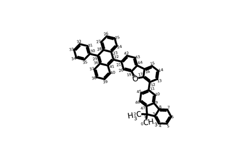 CC1(C)c2ccccc2-c2cc(-c3cccc4c3oc3cc(-c5c6ccccc6c(-c6ccccc6)c6ccccc56)ccc34)ccc21